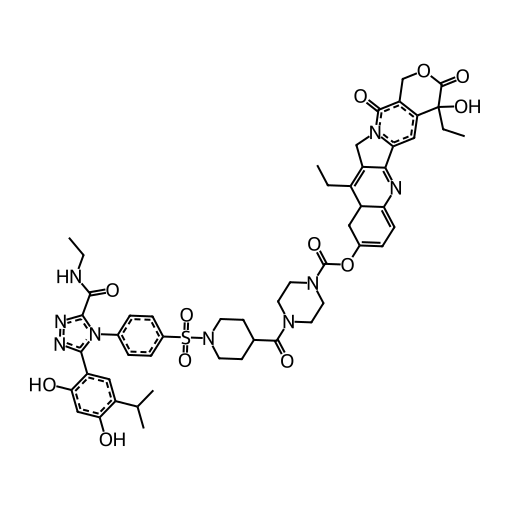 CCNC(=O)c1nnc(-c2cc(C(C)C)c(O)cc2O)n1-c1ccc(S(=O)(=O)N2CCC(C(=O)N3CCN(C(=O)OC4=CC=C5N=C6C(=C(CC)C5C4)Cn4c6cc5c(c4=O)COC(=O)C5(O)CC)CC3)CC2)cc1